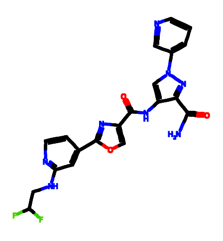 NC(=O)c1nn(-c2cccnc2)cc1NC(=O)c1coc(-c2ccnc(NCC(F)F)c2)n1